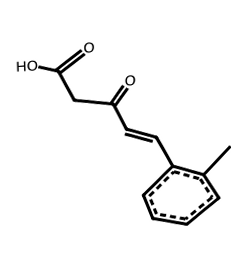 Cc1ccccc1C=CC(=O)CC(=O)O